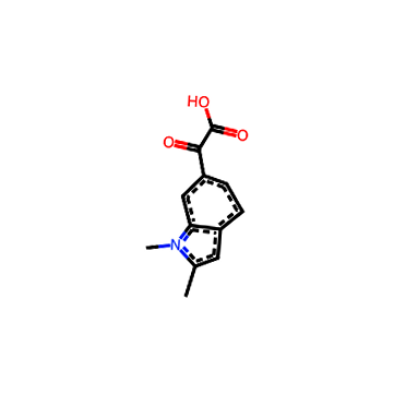 Cc1cc2ccc(C(=O)C(=O)O)cc2n1C